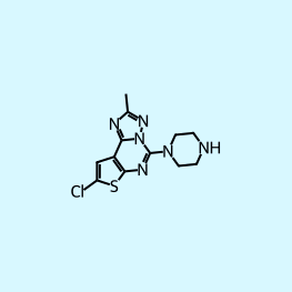 Cc1nc2c3cc(Cl)sc3nc(N3CCNCC3)n2n1